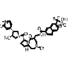 CCN1CC[C@H]2CC[C@@H](C(=O)N3C[C@@H](C#N)[C@H](c4cc[nH]c(=O)c4)C3)N2C(=O)C(CNC(=O)c2ccc3ccc(C(F)(F)P(=O)(O)O)cc3c2)C1